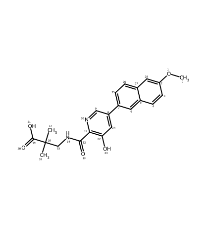 COc1ccc2cc(-c3cnc(C(=O)NCC(C)(C)C(=O)O)c(O)c3)ccc2c1